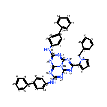 c1ccc(Cn2cccc2C2=NC3=NC(Nc4ccc(-c5ccccc5)cc4)=NC4=NC(Nc5ccc(-c6ccccc6)cc5)=NC(=N2)N43)cc1